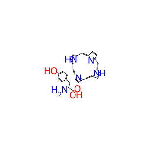 C1=Cc2cc3ccc(cc4nc(cc5ccc(cc1n2)[nH]5)C=C4)[nH]3.NC(Cc1ccc(O)cc1)C(=O)O